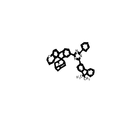 CC1(C)c2ccccc2-c2cc(-c3nc(-c4ccccc4)nc(-c4ccc5c(c4)C4(c6c-5ccc5ccccc65)C5CC6CC(C5)CC4C6)n3)ccc21